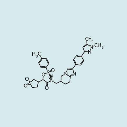 Cc1ccc(S(=O)(=O)OC(C(=O)NCC2CCc3nc(-c4ccc(-c5cc(C(F)(F)F)n(C)n5)cc4)cn3C2)C2CCS(=O)(=O)C2)cc1